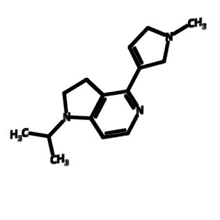 CC(C)N1CCc2c1ccnc2C1=CCN(C)C1